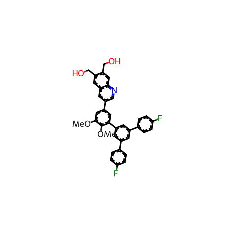 COc1cc(-c2cnc3cc(CO)c(CO)cc3c2)cc(-c2cc(-c3ccc(F)cc3)cc(-c3ccc(F)cc3)c2)c1OC